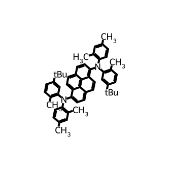 Cc1ccc(N(c2cc(C(C)(C)C)ccc2C)c2ccc3ccc4c(N(c5ccc(C)cc5C)c5cc(C(C)(C)C)ccc5C)ccc5ccc2c3c54)c(C)c1